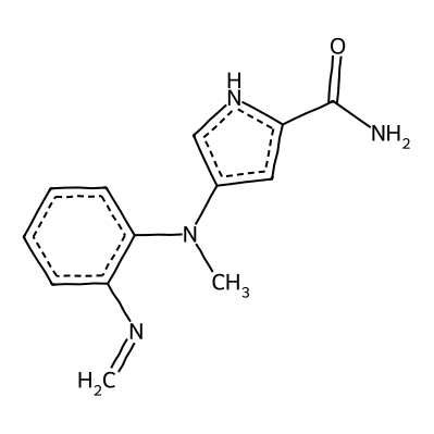 C=Nc1ccccc1N(C)c1c[nH]c(C(N)=O)c1